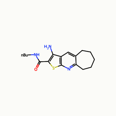 CCCCNC(=O)c1sc2nc3c(cc2c1N)CCCCC3